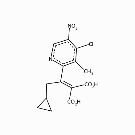 Cc1c(C(CC2CC2)=C(C(=O)O)C(=O)O)ncc([N+](=O)[O-])c1Cl